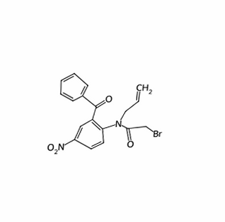 C=CCN(C(=O)CBr)c1ccc([N+](=O)[O-])cc1C(=O)c1ccccc1